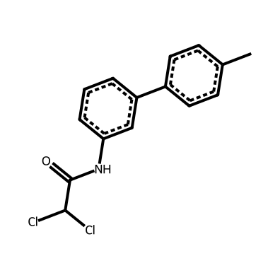 Cc1ccc(-c2cccc(NC(=O)C(Cl)Cl)c2)cc1